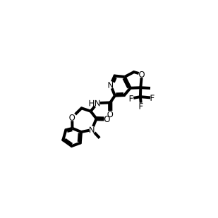 CN1C(=O)C(NC(=O)c2cc3c(cn2)COC3(C)C(F)(F)F)COc2ccccc21